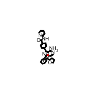 Nc1nccn2c(C3CC4CCC3N4C(=O)C3CCCO3)nc(-c3ccc(C(=O)Nc4ccccn4)cc3)c12